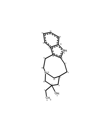 CCC1(O)CC2CCc3[nH]c4ccccc4c3CCN(C2)C1